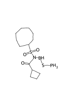 O=C(C1CCC1)N(BSP)S(=O)(=O)C1CCCCCCC1